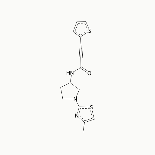 Cc1csc(N2CCC(NC(=O)C#Cc3cccs3)C2)n1